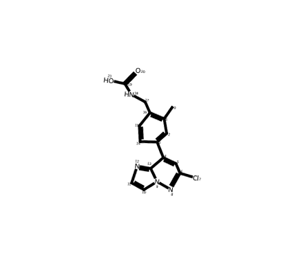 Cc1cc(-c2cc(Cl)nn3ccnc23)ccc1CNC(=O)O